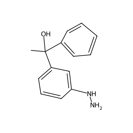 CC(O)(c1ccccc1)c1cccc(NN)c1